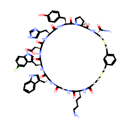 NCCCC[C@@H]1NC(=O)CCSCc2cccc(c2)CSC[C@@H](C(N)=O)NC(=O)[C@@H]2CCCN2C(=O)[C@H](Cc2ccc(O)cc2)NC(=O)[C@H](Cc2c[nH]cn2)NC(=O)[C@H](CC(=O)O)NC(=O)[C@H](Cc2c[nH]c3ccc(F)cc23)NC(=O)[C@@H](Cc2c[nH]c3ccccc23)NC(=O)CNC1=O